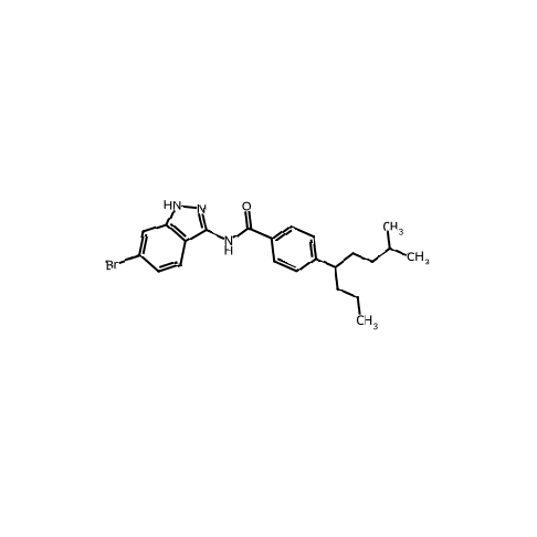 CCCC(CCC(C)C)c1ccc(C(=O)Nc2n[nH]c3cc(Br)ccc23)cc1